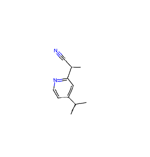 CC(C)c1ccnc(C(C)C#N)c1